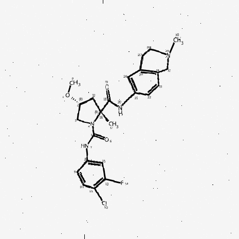 CO[C@H]1CN(C(=O)Nc2ccc(Cl)c(F)c2)[C@@](C)(C(=O)Nc2ccc3c(c2)CCN(C)C3)C1